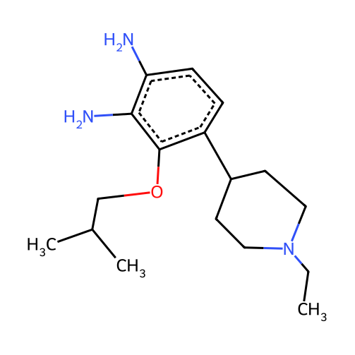 CCN1CCC(c2ccc(N)c(N)c2OCC(C)C)CC1